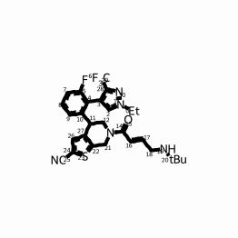 CCn1cc(-c2c(F)cccc2C2CN(C(=O)/C=C/CNC(C)(C)C)Cc3sc(C#N)cc32)c(C(F)(F)F)n1